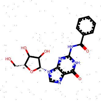 O=C(Nc1nc2c(ncn2[C@@H]2O[C@H](CO)C(O)C2O)c(=O)[nH]1)c1ccccc1